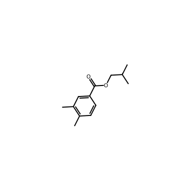 C[C](C)COC(=O)c1ccc(C)c(C)c1